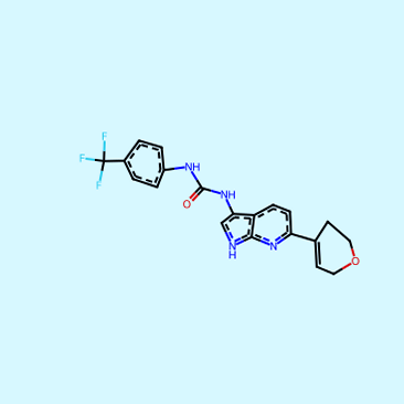 O=C(Nc1ccc(C(F)(F)F)cc1)Nc1c[nH]c2nc(C3=CCOCC3)ccc12